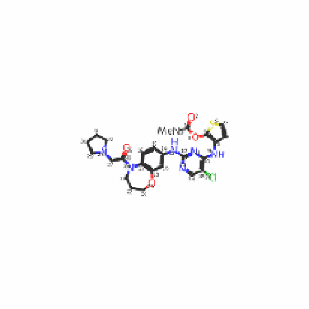 CNC(=O)Oc1sccc1Nc1nc(Nc2ccc3c(c2)OCCCN3C(=O)CN2CCCC2)ncc1Cl